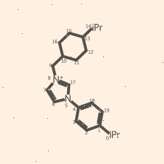 CC(C)c1ccc(-n2cc[n+](CC3CCC(C(C)C)CC3)c2)cc1